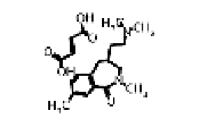 Cc1ccc2c(c1)C(=O)N(C)CC(CCN(C)C)C2.O=C(O)C=CC(=O)O